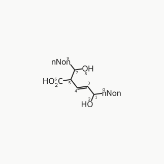 CCCCCCCCCC(O)C=CC(C(=O)O)C(O)CCCCCCCCC